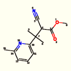 COC(=O)C(C#N)C(C)(C)c1cccc(C)n1